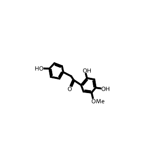 COc1cc(C(=O)Cc2ccc(O)cc2)c(O)cc1O